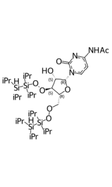 CC(=O)Nc1ccn([C@@H]2O[C@H](COO[Si](C(C)C)(C(C)C)[SiH](C(C)C)C(C)C)[C@@H](OO[Si](C(C)C)(C(C)C)[SiH](C(C)C)C(C)C)[C@@H]2O)c(=O)n1